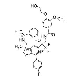 COc1cc(C(=O)NCC(O)(c2cc3c(c(-c4ccc(F)cc4)n2)OC[C@@]3(C)CN[C@@H](C)c2ccccc2)C(F)(F)F)ccc1OCCO